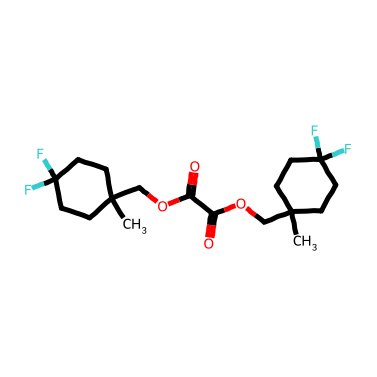 CC1(COC(=O)C(=O)OCC2(C)CCC(F)(F)CC2)CCC(F)(F)CC1